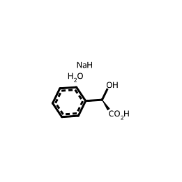 O.O=C(O)[C@H](O)c1ccccc1.[NaH]